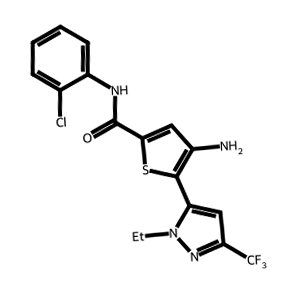 CCn1nc(C(F)(F)F)cc1-c1sc(C(=O)Nc2ccccc2Cl)cc1N